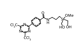 CO[Si](CO)(CO)CCCNC(=O)c1ccc(-c2nc(C(Cl)(Cl)Cl)nc(C(Cl)(Cl)Cl)n2)cc1